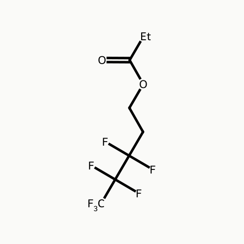 CCC(=O)OCCC(F)(F)C(F)(F)C(F)(F)F